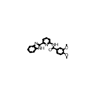 COc1ccc(C(=O)Nc2cccc(-c3nc4ccccc4[nH]3)n2)cc1OC